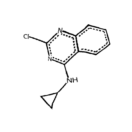 Clc1nc(NC2CC2)c2ccccc2n1